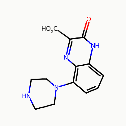 O=C(O)c1nc2c(N3CCNCC3)cccc2[nH]c1=O